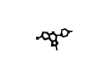 Cc1nc2c(N3CCN(C)CC3)nc3ccc(Br)cc3c2o1